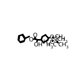 CC(C)(C)[Si](C)(C)OC1CCC(C(O)C(=O)OCc2ccccc2)CC1